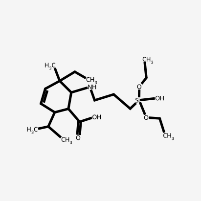 CCO[Si](O)(CCCNC1C(C(=O)O)C(C(C)C)C=CC1(C)CC)OCC